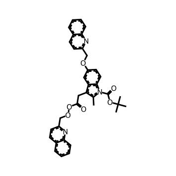 Cc1c(CC(=O)OOCc2ccc3ccccc3n2)c2cc(OCc3ccc4ccccc4n3)ccc2n1C(=O)OC(C)(C)C